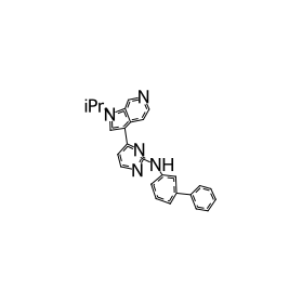 CC(C)n1cc(-c2ccnc(Nc3cccc(-c4ccccc4)c3)n2)c2ccncc21